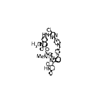 CNC(=O)COc1cc2cc(Nc3nc(N4CCN(C[C@@H]5CCN(c6cccc7c(C8CCC(=O)NC8=O)nn(C)c67)C5)CC4)ncc3Cl)ccc2n(C)c1=O